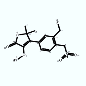 CC(C)OC1=C(c2ccc(C[SH](=O)=O)c(CF)c2)C(C)(C)OC1=O